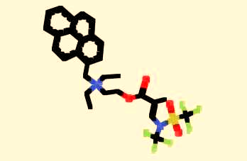 CC[N+](CC)(CCOC(=O)C(C)=CN(C(F)(F)F)S(=O)(=O)C(F)(F)F)Cc1ccc2ccc3cccc4ccc1c2c34